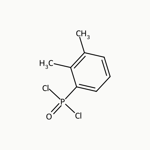 Cc1cccc(P(=O)(Cl)Cl)c1C